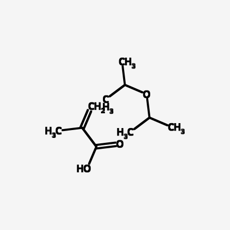 C=C(C)C(=O)O.CC(C)OC(C)C